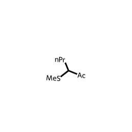 CCCC(SC)C(C)=O